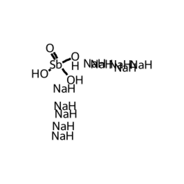 [NaH].[NaH].[NaH].[NaH].[NaH].[NaH].[NaH].[NaH].[NaH].[NaH].[O]=[Sb]([OH])([OH])[OH]